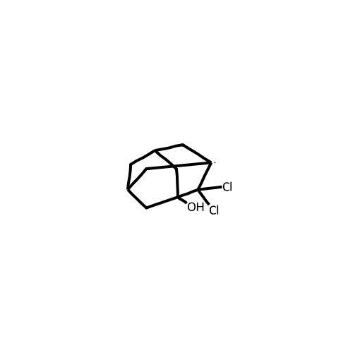 OC12CC3C[C](CC(C3)C1)C2(Cl)Cl